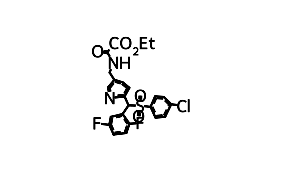 CCOC(=O)C(=O)NCc1ccc(C(c2cc(F)ccc2F)S(=O)(=O)c2ccc(Cl)cc2)nc1